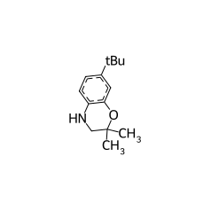 CC1(C)CNc2ccc(C(C)(C)C)cc2O1